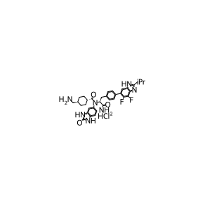 CC(C)c1nc2c(F)c(F)c(-c3ccc(C[C@@H](C(N)=O)N(c4ccc5[nH]c(=O)[nH]c5c4)C(=O)[C@H]4CC[C@H](CN)CC4)cc3)cc2[nH]1.Cl